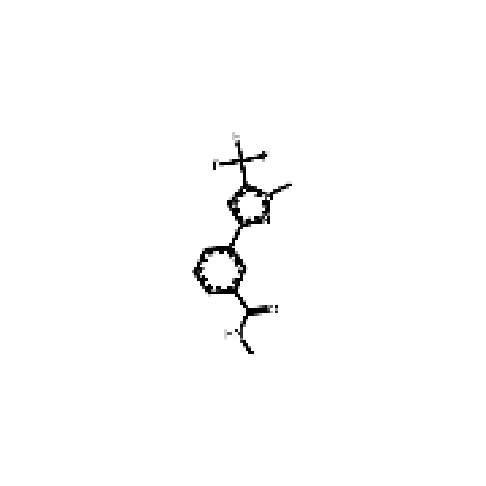 CNC(=O)c1cccc(-c2cc(C(F)(F)F)n(C)n2)c1